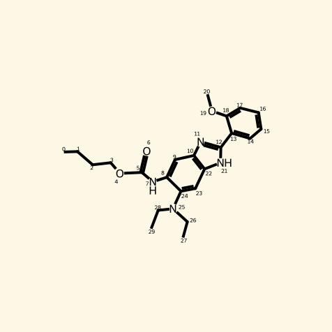 CCCCOC(=O)Nc1cc2nc(-c3ccccc3OC)[nH]c2cc1N(CC)CC